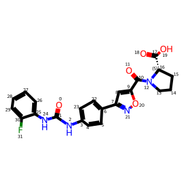 O=C(Nc1ccc(-c2cc(C(=O)N3CCC[C@H]3C(=O)O)on2)cc1)Nc1ccccc1F